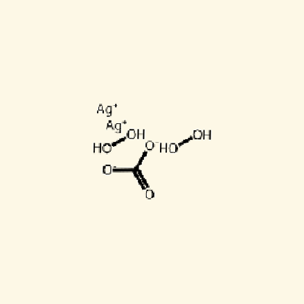 O=C([O-])[O-].OO.OO.[Ag+].[Ag+]